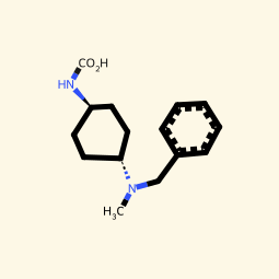 CN(Cc1ccccc1)[C@H]1CC[C@H](NC(=O)O)CC1